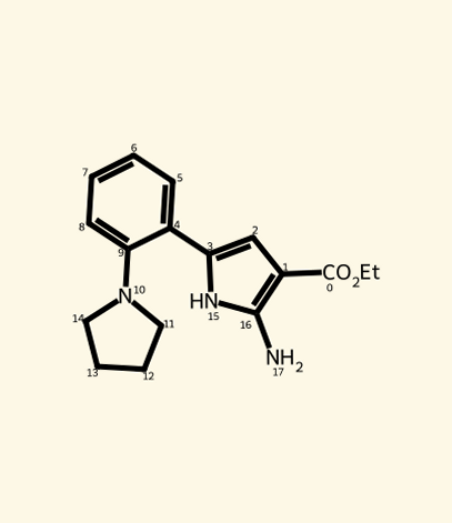 CCOC(=O)c1cc(-c2ccccc2N2CCCC2)[nH]c1N